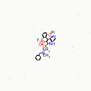 CC(C)Oc1nccc2c1C(c1ccccc1C(F)(F)F)=C(OC(=O)OCCN(C)Cc1ccccc1)C(C)N2